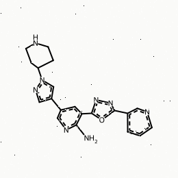 Nc1ncc(-c2cnn(C3CCNCC3)c2)cc1-c1nnc(-c2cccnc2)o1